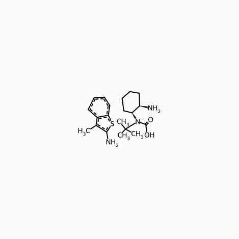 CC(C)(C)N(C(=O)O)[C@H]1CCCC[C@H]1N.Cc1c(N)sc2ccccc12